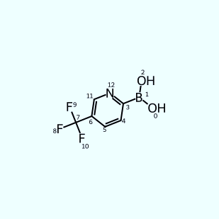 OB(O)c1ccc(C(F)(F)F)cn1